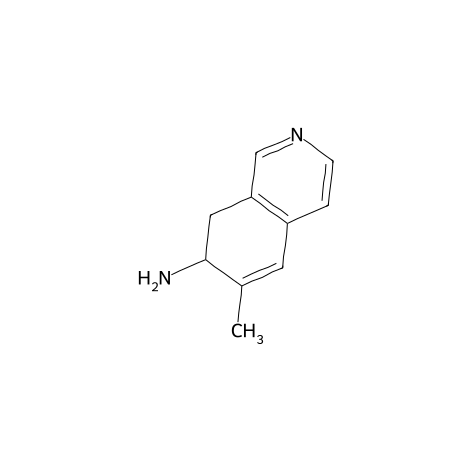 CC1=Cc2ccncc2CC1N